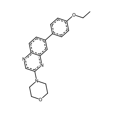 CCOc1ccc(-c2ccc3ncc(N4CCOCC4)nc3c2)cc1